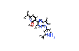 CCC(CC(N)C(C)C)n1cc(C)c2nc(-c3ccc(C(C)C)nc3OC)c(C)nc21